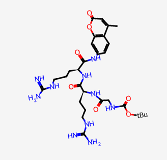 Cc1cc(=O)oc2cc(NC(=O)[C@H](CCCNC(=N)N)NC(=O)[C@H](CCCNC(=N)N)NC(=O)CNC(=O)OC(C)(C)C)ccc12